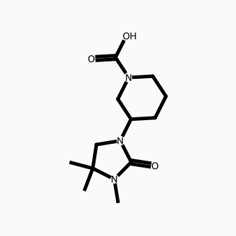 CN1C(=O)N(C2CCCN(C(=O)O)C2)CC1(C)C